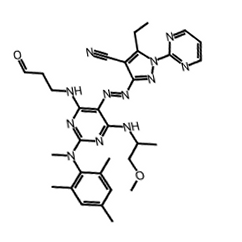 CCc1c(C#N)c(N=Nc2c(NCCC=O)nc(N(C)c3c(C)cc(C)cc3C)nc2NC(C)COC)nn1-c1ncccn1